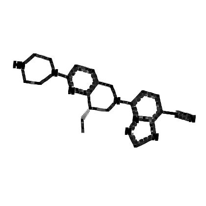 CC[C@H]1CN(c2ccc(C#N)c3ncnn23)Cc2ccc(N3CCNCC3)nc21